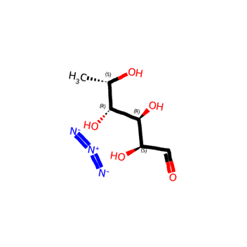 C[C@H](O)[C@@H](O)[C@@H](O)[C@H](O)C=O.[N-]=[N+]=[N-]